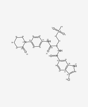 CS(=O)(=O)CCC(NC(=O)c1ccc2c(Cl)c[nH]c2c1)C(=O)Nc1ccc(N2CCCCC2=O)cc1